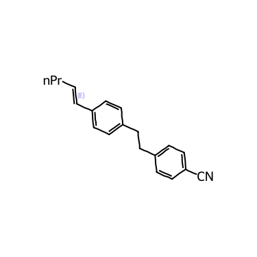 CCC/C=C/c1ccc(CCc2ccc(C#N)cc2)cc1